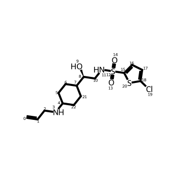 C=CCNC1CCC([C@@H](O)CNS(=O)(=O)c2ccc(Cl)s2)CC1